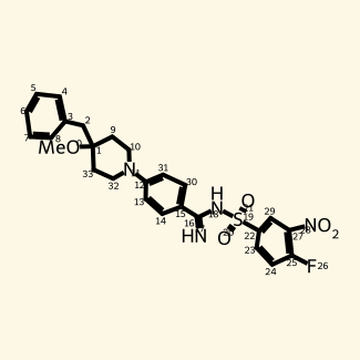 COC1(Cc2ccccc2)CCN(c2ccc(C(=N)NS(=O)(=O)c3ccc(F)c([N+](=O)[O-])c3)cc2)CC1